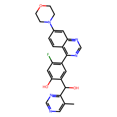 Cc1cncnc1C(O)c1cc(-c2ncnc3cc(N4CCOCC4)ccc23)c(F)cc1O